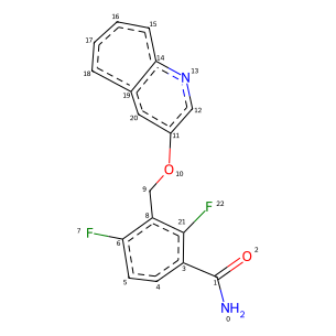 NC(=O)c1ccc(F)c(COc2cnc3ccccc3c2)c1F